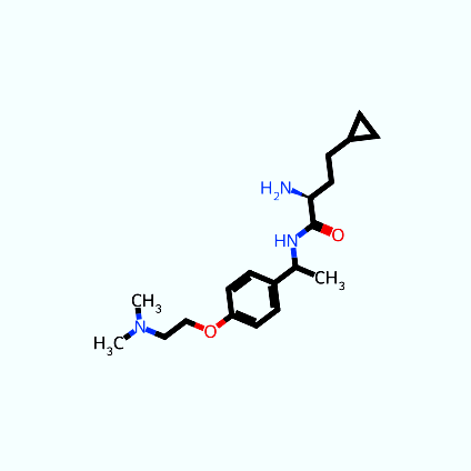 CC(NC(=O)[C@@H](N)CCC1CC1)c1ccc(OCCN(C)C)cc1